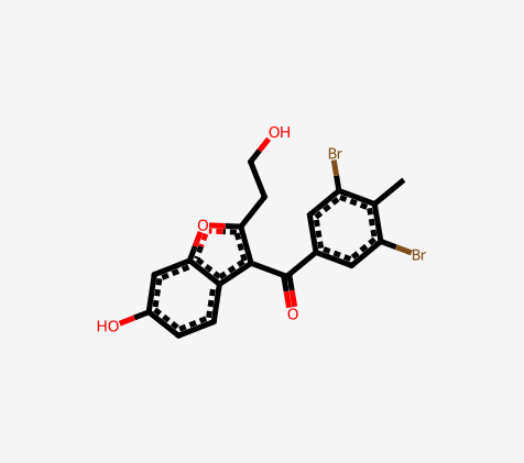 Cc1c(Br)cc(C(=O)c2c(CCO)oc3cc(O)ccc23)cc1Br